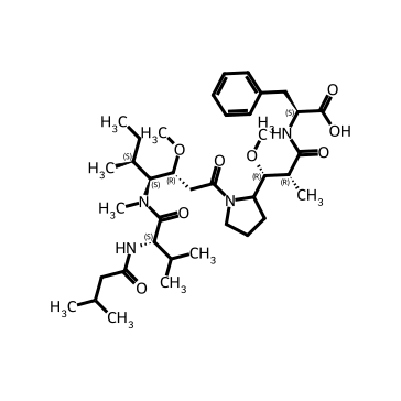 CC[C@H](C)[C@@H]([C@@H](CC(=O)N1CCCC1[C@H](OC)[C@@H](C)C(=O)N[C@@H](Cc1ccccc1)C(=O)O)OC)N(C)C(=O)[C@@H](NC(=O)CC(C)C)C(C)C